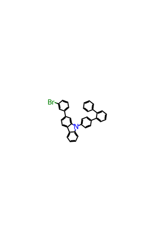 Brc1cccc(-c2ccc3c4ccccc4n(-c4ccc(-c5ccccc5-c5ccccc5)cc4)c3c2)c1